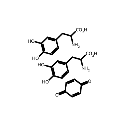 NC(Cc1ccc(O)c(O)c1)C(=O)O.NC(Cc1ccc(O)c(O)c1)C(=O)O.O=C1C=CC(=O)C=C1